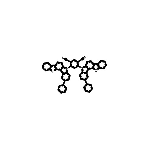 N#Cc1cc(C#N)c(-n2c3ccc(-c4ccccc4)cc3c3c4oc5ccccc5c4ccc32)cc1-n1c2ccc(-c3ccccc3)cc2c2c3oc4ccccc4c3ccc21